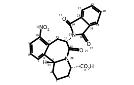 O=C(O)[C@@H]1CCC[C@@H]2c3cccc([N+](=O)[O-])c3C[C@H](N3C(=O)c4ccccc4C3=O)C(=O)N21